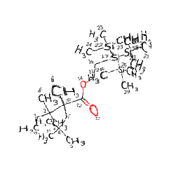 CCC(C)(C)C(C)(CC(C)(C)C)C(=O)OCC[Si]([Si](C)(C)C)([Si](C)(C)C)[Si](C)(C)C